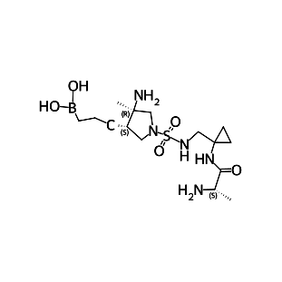 C[C@H](N)C(=O)NC1(CNS(=O)(=O)N2C[C@H](CCCB(O)O)[C@@](C)(N)C2)CC1